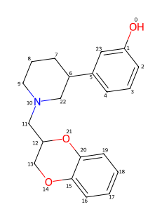 Oc1cccc(C2CCCN(CC3COc4ccccc4O3)C2)c1